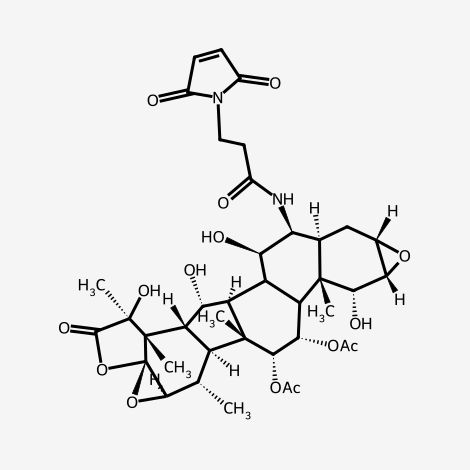 CC(=O)O[C@H]1C2C([C@@H](O)[C@@H](NC(=O)CCN3C(=O)C=CC3=O)[C@H]3C[C@@H]4O[C@@H]4[C@H](O)[C@]23C)[C@@H]2[C@@H](O)[C@@H]3[C@H]([C@H](C)[C@H]4O[C@]45OC(=O)[C@@](C)(O)[C@]35C)[C@@]2(C)[C@H]1OC(C)=O